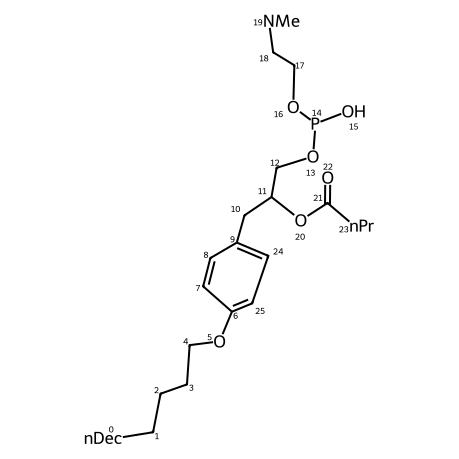 CCCCCCCCCCCCCCOc1ccc(CC(COP(O)OCCNC)OC(=O)CCC)cc1